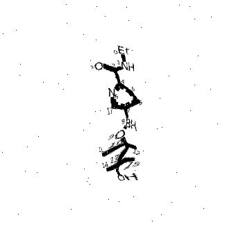 CCNC(=O)c1ccc(BOC(C)(C)C(C)(C)O)cn1